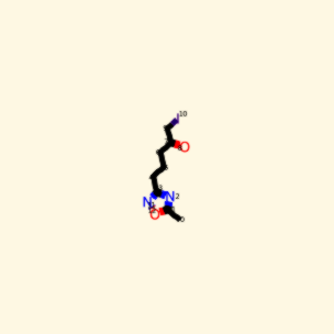 Cc1nc(CCCC(=O)CI)no1